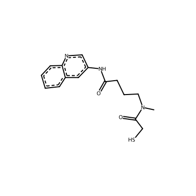 CN(CCCC(=O)Nc1cnc2ccccc2c1)C(=O)CS